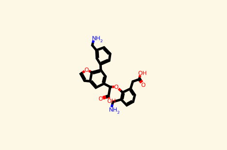 NCc1cccc(-c2cc(C(Oc3c(CN)cccc3CC(=O)O)C(=O)O)cc3ccoc23)c1